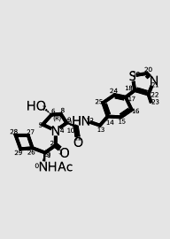 CC(=O)N[C@H](C(=O)N1C[C@H](O)C[C@H]1C(=O)NCc1ccc(-c2scnc2C)cc1)C1CCC1